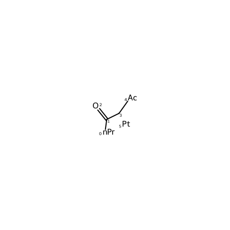 CCCC(=O)CC(C)=O.[Pt]